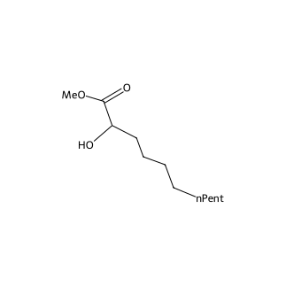 CCCCCCCCCC(O)C(=O)OC